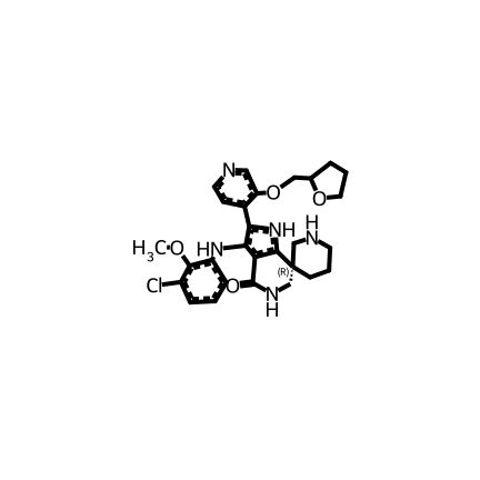 COc1c(Cl)cccc1Nc1c(-c2ccncc2OCC2CCCO2)[nH]c2c1C(=O)NC[C@]21CCCNC1